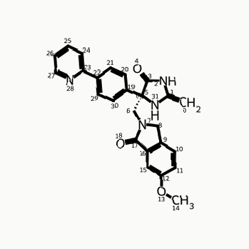 C=C1NC(=O)[C@](CN2Cc3ccc(OC)cc3C2=O)(c2ccc(-c3ccccn3)cc2)N1